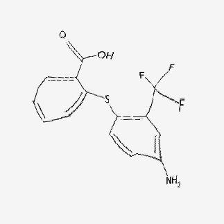 Nc1ccc(Sc2ccccc2C(=O)O)c(C(F)(F)F)c1